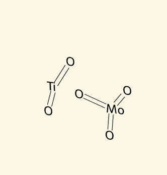 [O]=[Mo](=[O])=[O].[O]=[Ti]=[O]